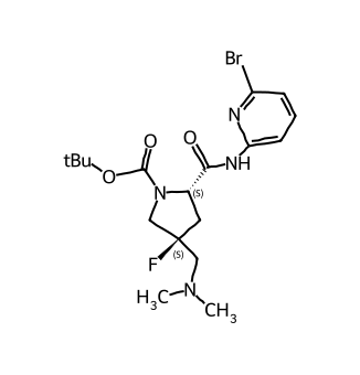 CN(C)C[C@@]1(F)C[C@@H](C(=O)Nc2cccc(Br)n2)N(C(=O)OC(C)(C)C)C1